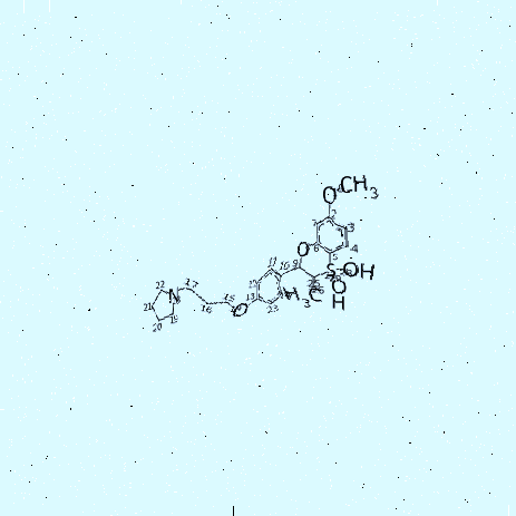 COc1ccc2c(c1)OC(c1ccc(OCCCN3CCCC3)cc1)C(C)S2(O)O